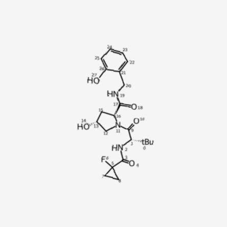 CC(C)(C)[C@H](NC(=O)C1(F)CC1)C(=O)N1C[C@H](O)C[C@H]1C(=O)NCc1ccccc1O